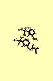 CCC[N+](CC)(CCC)c1cccc([N+](=O)[O-])c1C.CCC[N+](CC)(CCC)c1cccc([N+](=O)[O-])c1C.O=C([O-])C(=O)[O-]